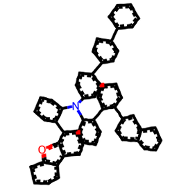 c1ccc(-c2ccc(-c3ccc(N(c4ccccc4-c4ccccc4-c4ccc5ccccc5c4)c4ccccc4-c4cccc5c4oc4ccccc45)cc3)cc2)cc1